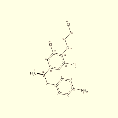 C[C@H](Cc1ccc(N)cc1)c1cc(Cl)c(OCCCl)c(Cl)c1